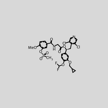 COc1ccc(C(=O)NCC(=O)O[C@@H](Cc2c(Cl)cncc2Cl)c2ccc(OC(F)F)c(OCC3CC3)c2)cc1OS(C)(=O)=O